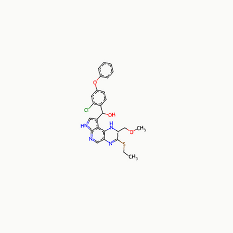 CCSC1=Nc2cnc3[nH]cc(C(O)c4ccc(Oc5ccccc5)cc4Cl)c3c2NC1COC